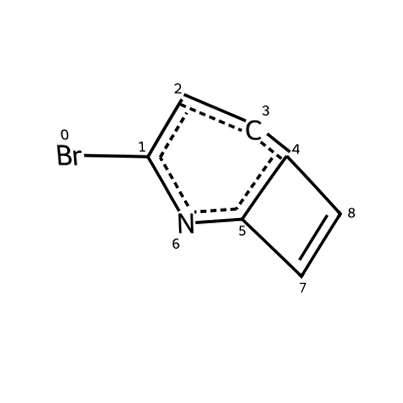 Brc1ccc2c(n1)C=C2